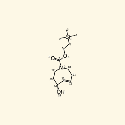 C[Si](C)(C)CCOC(=O)N1CC/C=C/[C@@H](O)CC1